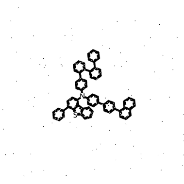 c1ccc(-c2ccccc2-c2ccccc2-c2ccc(N(c3ccc(-c4ccc(-c5cccc6ccccc56)cc4)cc3)c3ccc(-c4ccccc4)c4sc5ccccc5c34)cc2)cc1